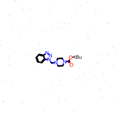 CC(C)(C)OC(=O)N1CCN(Cn2nnc3ccccc32)CC1